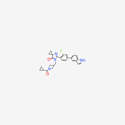 O=C(C1CC1)N1CC(CN2C(=O)C3(CC3)N=C2c2ccc(-c3ccc4[nH]ccc4c3)cc2F)C1